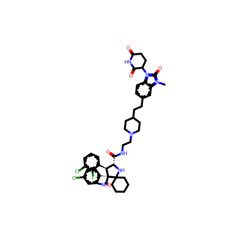 Cn1c(=O)n(C2CCC(=O)NC2=O)c2ccc(CCC3CCN(CCNC(=O)[C@@H]4NC5(CCCCC5)[C@@]5(C(=O)Nc6cc(Cl)ccc65)[C@H]4c4cccc(Cl)c4F)CC3)cc21